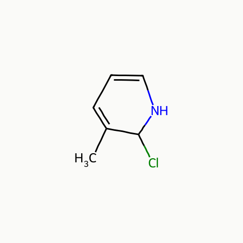 CC1=CC=CNC1Cl